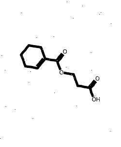 O=C(O)CCOC(=O)C1=CCCCC1